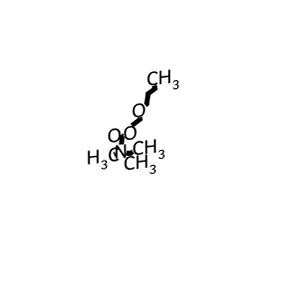 CCCCOCCOC(=O)N(C)C(C)C